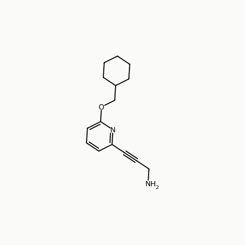 NCC#Cc1cccc(OCC2CCCCC2)n1